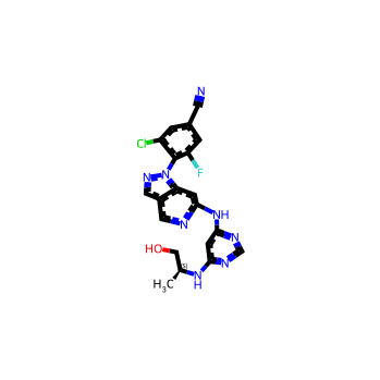 C[C@@H](CO)Nc1cc(Nc2cc3c(cn2)cnn3-c2c(F)cc(C#N)cc2Cl)ncn1